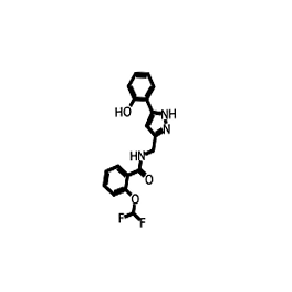 O=C(NCc1cc(-c2ccccc2O)[nH]n1)c1ccccc1OC(F)F